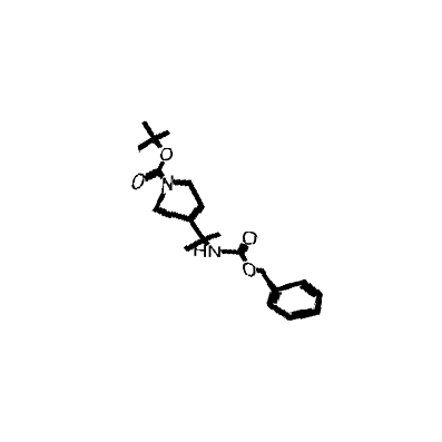 CC(C)(C)OC(=O)N1CCC(C(C)(C)NC(=O)OCc2ccccc2)CC1